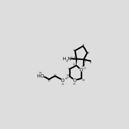 CC1(C)CCCC1(N)[C@@H]1C[C@@H](OCCO)OCO1